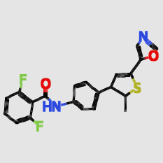 CC1SC(c2cnco2)=CC1c1ccc(NC(=O)c2c(F)cccc2F)cc1